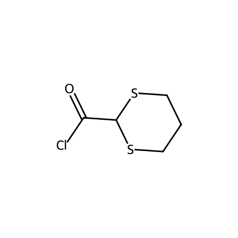 O=C(Cl)C1SCCCS1